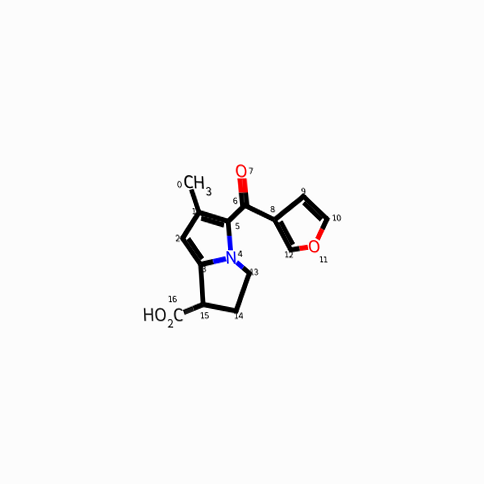 Cc1cc2n(c1C(=O)c1ccoc1)CCC2C(=O)O